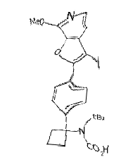 COc1nccc2c(I)c(-c3ccc(C4(N(C(=O)O)C(C)(C)C)CCC4)cc3)oc12